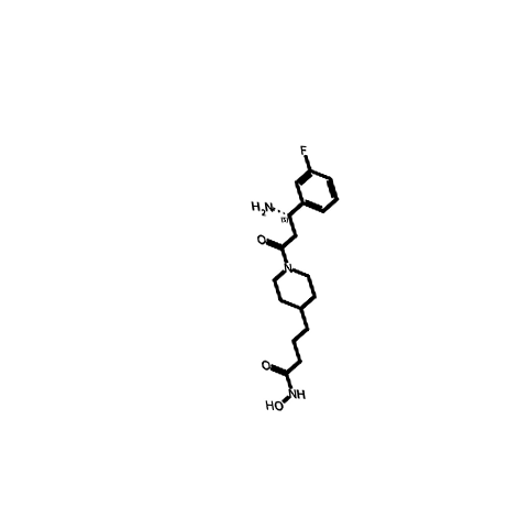 N[C@@H](CC(=O)N1CCC(CCCC(=O)NO)CC1)c1cccc(F)c1